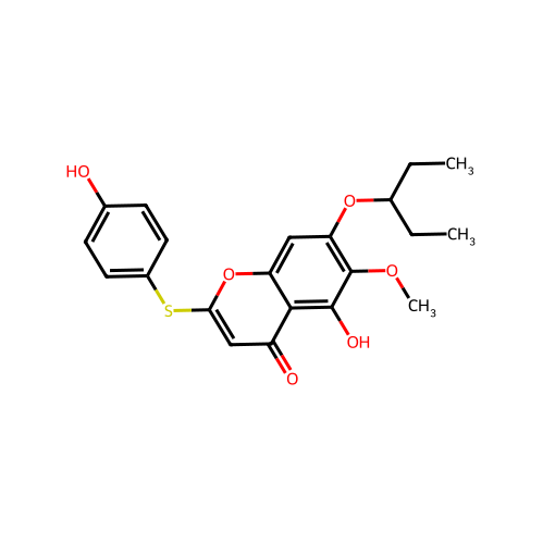 CCC(CC)Oc1cc2oc(Sc3ccc(O)cc3)cc(=O)c2c(O)c1OC